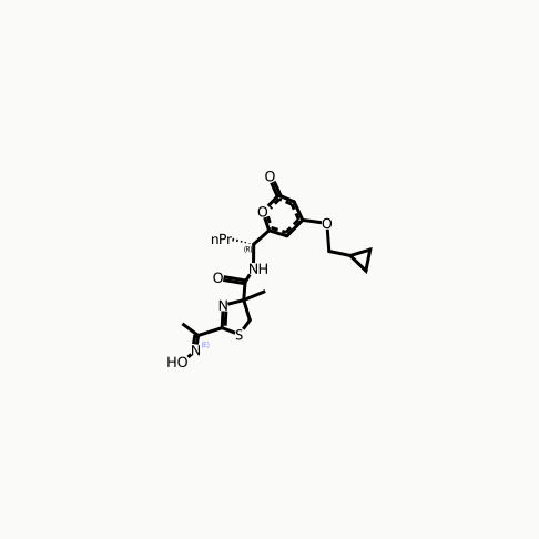 CCC[C@@H](NC(=O)C1(C)CSC(/C(C)=N/O)=N1)c1cc(OCC2CC2)cc(=O)o1